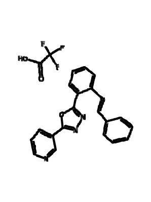 C(=Cc1ccccc1-c1nnc(-c2cccnc2)o1)c1ccccc1.O=C(O)C(F)(F)F